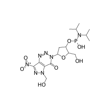 CC(C)N(C(C)C)P(O)OC1CC(n2nnc3c([N+](=O)[O-])nn(CO)c3c2=O)OC1CO